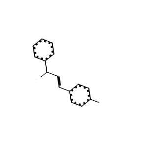 CCOC(=O)c1ccc(C=CC(O)c2ccccc2)cc1